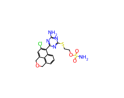 Nc1nc(SCCOS(N)(=O)=O)nc(-c2c(Cl)cc3c4c(cccc24)COC3)n1